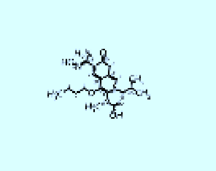 CCCCOC1=C(N(C)C(=O)O)N(CC(C)C)C=C2CC(=O)C(C(N)=NO)C=C21